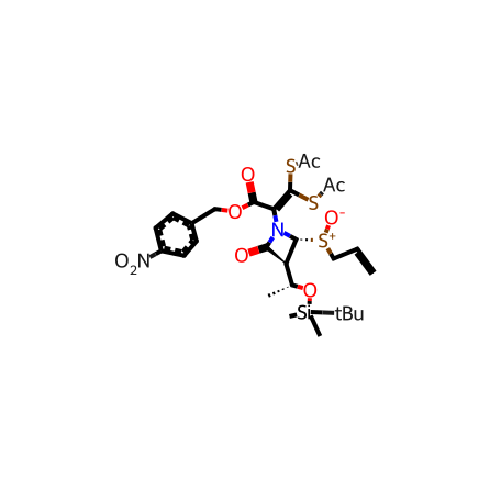 C=CC[S+]([O-])[C@@H]1[C@@H]([C@@H](C)O[Si](C)(C)C(C)(C)C)C(=O)N1C(C(=O)OCc1ccc([N+](=O)[O-])cc1)=C(SC(C)=O)SC(C)=O